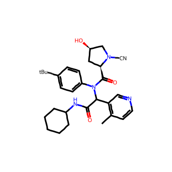 Cc1ccncc1C(C(=O)NC1CCCCC1)N(C(=O)[C@H]1C[C@@H](O)CN1C#N)c1ccc(C(C)(C)C)cc1